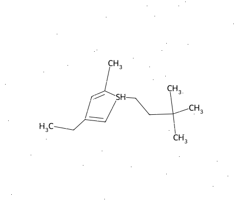 CCC1=C[SH](CCC(C)(C)C)C(C)=C1